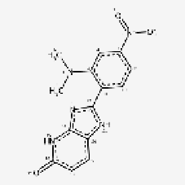 CN(C)c1cc([N+](=O)[O-])ccc1-c1nc2[nH]c(=O)ccc2[nH]1